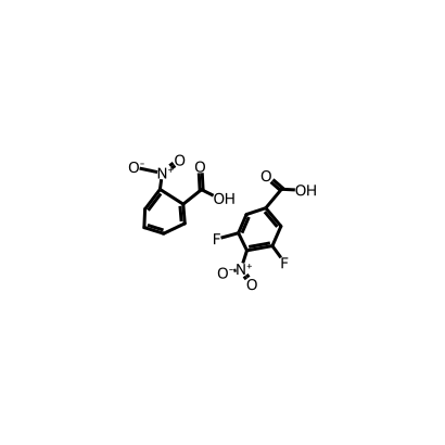 O=C(O)c1cc(F)c([N+](=O)[O-])c(F)c1.O=C(O)c1ccccc1[N+](=O)[O-]